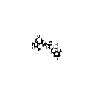 NCC(Cc1cccc(F)c1)NC(=O)c1cc2c(s1)CCCn1ncc(CI)c1-2